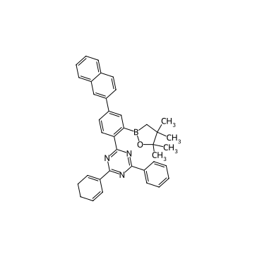 CC1(C)CB(c2cc(-c3ccc4ccccc4c3)ccc2-c2nc(C3=CCCC=C3)nc(-c3ccccc3)n2)OC1(C)C